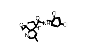 Cc1cnc2c(c1)[C@](F)(C(=O)NCc1ccc(Cl)cc1Cl)CC[C@@]21CO1